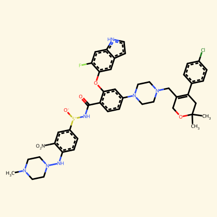 CN1CCN(Nc2ccc([S+]([O-])NC(=O)c3ccc(N4CCN(CC5=C(c6ccc(Cl)cc6)CC(C)(C)OC5)CC4)cc3Oc3cc4cc[nH]c4cc3F)cc2[N+](=O)[O-])CC1